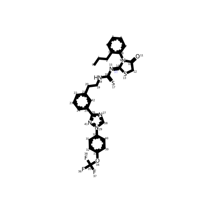 CCCc1ccccc1N1C(=O)CS/C1=N\C(=S)NCCc1cccc(-c2ncn(-c3ccc(OC(F)(F)F)cc3)n2)c1